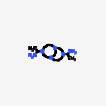 CC(N)N1CCCN2CCN(CCCN(C(C)N)CC2)CC1